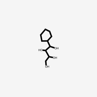 OCC(O)C(O)C(O)C1CCCCC1